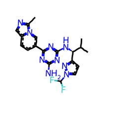 Cc1ncc2ccc(-c3nc(N)nc(N[C@H](c4ccn(C(F)F)n4)C(C)C)n3)cn12